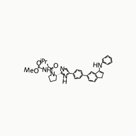 COC(=O)N[C@H](C(=O)N1CCC[C@H]1c1ncc(-c2ccc(-c3ccc4c(c3)C(Nc3ccccc3)=CC4)cc2)[nH]1)C(C)C